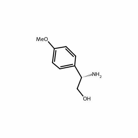 COc1ccc([C@H](N)CO)cc1